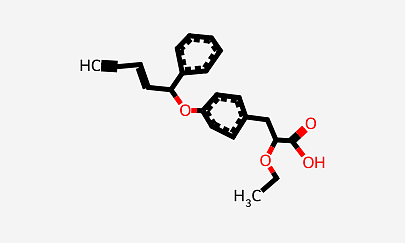 C#CC=CC(Oc1ccc(CC(OCC)C(=O)O)cc1)c1ccccc1